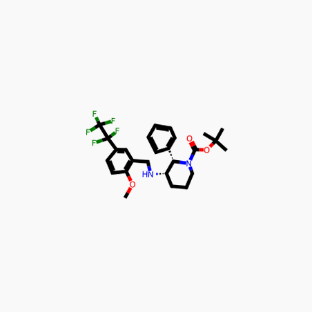 COc1ccc(C(F)(F)C(F)(F)F)cc1CN[C@H]1CCCN(C(=O)OC(C)(C)C)[C@H]1c1ccccc1